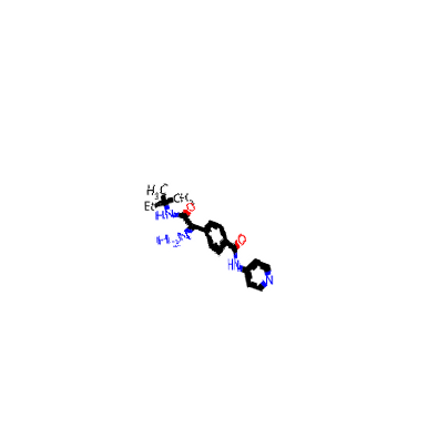 CCC(C)(C)NC(=O)C(N)c1ccc(C(=O)Nc2ccncc2)cc1